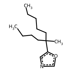 CCCCCC(C)(CCCC)c1cnco1